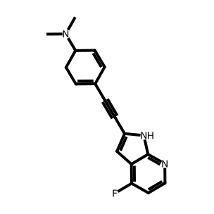 CN(C)C1C=CC(C#Cc2cc3c(F)ccnc3[nH]2)=CC1